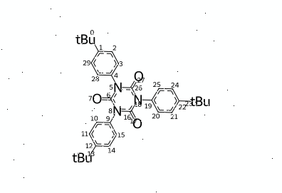 CC(C)(C)c1ccc(-n2c(=O)n(-c3ccc(C(C)(C)C)cc3)c(=O)n(-c3ccc(C(C)(C)C)cc3)c2=O)cc1